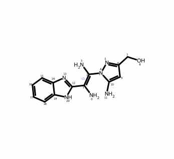 N/C(=C(/N)n1nc(CO)cc1N)c1nc2ccccc2[nH]1